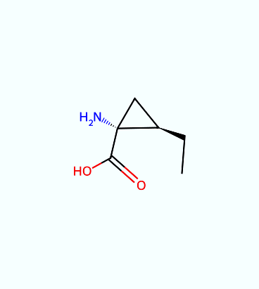 CC[C@@H]1C[C@]1(N)C(=O)O